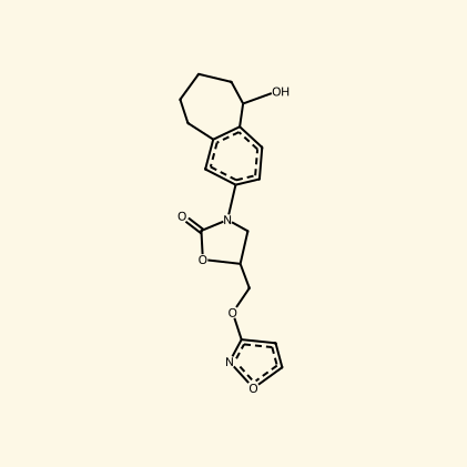 O=C1OC(COc2ccon2)CN1c1ccc2c(c1)CCCCC2O